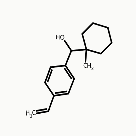 C=Cc1ccc(C(O)C2(C)CCCCC2)cc1